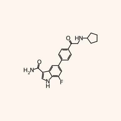 NC(=O)c1c[nH]c2c(F)cc(-c3ccc(C(=O)CNC4CCCC4)cc3)cc12